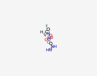 CC(C1CC1)N(Cc1ccc(F)cc1)C(=O)CN1C(=O)CC2(CCc3cc(NC4CNC4)ccc32)C1=O